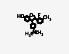 Cc1cccc(C2COc3cc(O)ccc3C2c2ccc(N(C)C)cc2)c1F